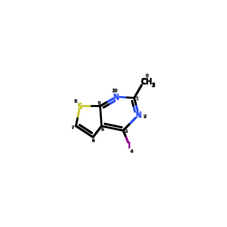 Cc1nc(I)c2ccsc2n1